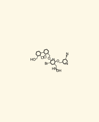 N#Cc1cncc(COc2nc(OCc3cccc(-c4cccc(CO)c4Cl)c3Cl)c(Br)cc2CNO)c1